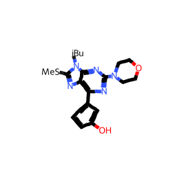 CCC(C)n1c(SC)nc2c(-c3cccc(O)c3)nc(N3CCOCC3)nc21